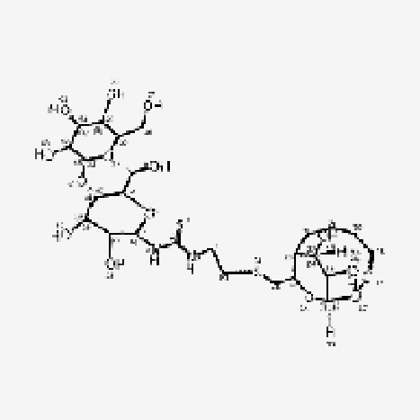 OCC1O[C@@H](NC(=S)NCCSCC2O[C@@H]3OCCCCCC2[C@H](O)C3O)C(O)[C@@H](O)[C@@H]1O[C@@H]1OC(CO)[C@H](O)[C@H](O)C1O